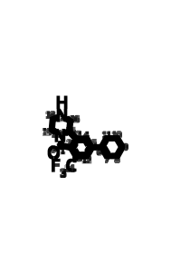 O=C1c2c(cc(C3=CCCCC3)cc2C(F)(F)F)C2CNCCN12